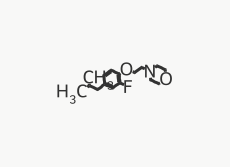 CC(C)Cc1ccc(OCCN2CCOCC2)c(F)c1